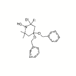 CCC1(CC)CC(OCc2ccccc2)(OCc2ccccc2)CC(C)(C)N1O